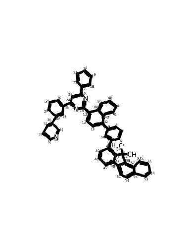 CC1(C)c2c(-c3cccc(-c4ccc(-c5nc(-c6ccccc6)cc(-c6cccc(-c7cccnc7)c6)n5)c5ccccc45)c3)cccc2-c2ccc3ccccc3c21